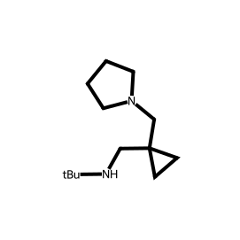 CC(C)(C)NCC1(CN2CCCC2)CC1